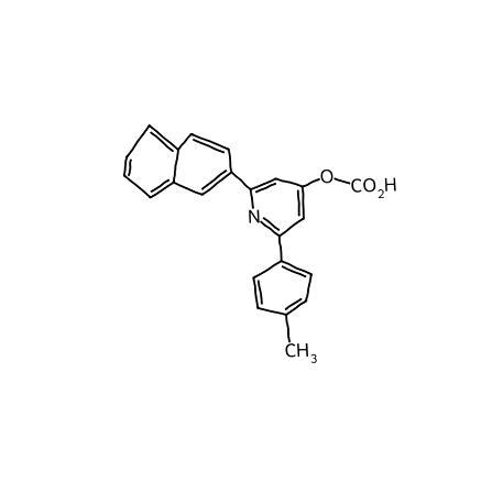 Cc1ccc(-c2cc(OC(=O)O)cc(-c3ccc4ccccc4c3)n2)cc1